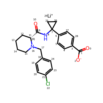 O=C([O-])c1ccc(C2(NC(=O)[C@H]3CCCCN3Cc3ccc(Cl)cc3)CC2)cc1.[Li+]